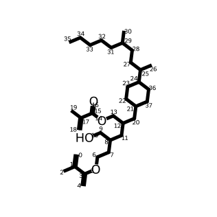 C=C(C)C(=C)OCCC(CO)CC(COC(=O)C(=C)C)CC1CCC(C(C)CCC(C)CCCCC)CC1